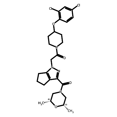 C[C@@H]1CN(C(=O)c2nn(CC(=O)N3CCC(Oc4ccc(Cl)cc4Cl)CC3)c3c2CCC3)C[C@H](C)O1